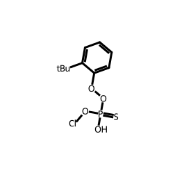 CC(C)(C)c1ccccc1OOP(O)(=S)OCl